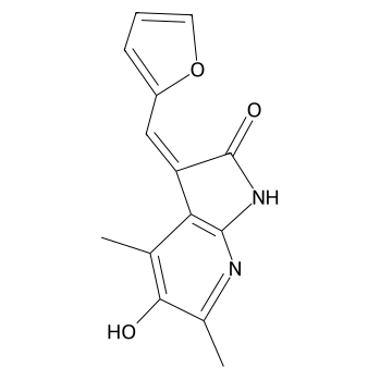 Cc1nc2c(c(C)c1O)C(=Cc1ccco1)C(=O)N2